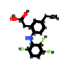 CCc1ccc(Nc2c(F)ccc(F)c2F)c(CC(=O)O)c1